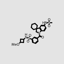 COC1CC(NS(=O)(=O)c2cccc(C(=O)N3CC4(CCCCC4)c4cc(NS(C)(=O)=O)ccc43)c2)C1